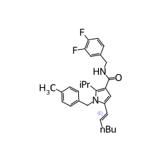 CCCC/C=C/c1cc(C(=O)NCc2ccc(F)c(F)c2)c(C(C)C)n1Cc1ccc(C)cc1